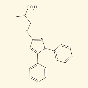 CC(COc1cc(-c2ccccc2)n(-c2ccccc2)n1)C(=O)O